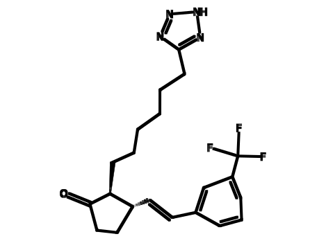 O=C1CC[C@@H](C=Cc2cccc(C(F)(F)F)c2)[C@@H]1CCCCCCc1nn[nH]n1